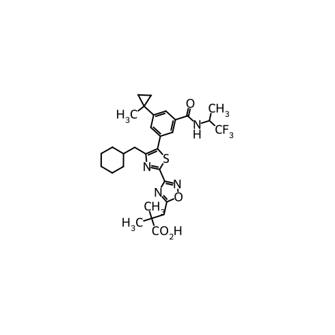 CC(NC(=O)c1cc(-c2sc(-c3noc(CC(C)(C)C(=O)O)n3)nc2CC2CCCCC2)cc(C2(C)CC2)c1)C(F)(F)F